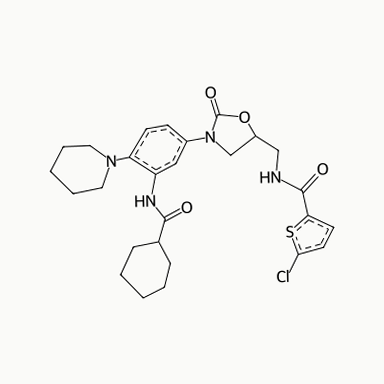 O=C(NCC1CN(c2ccc(N3CCCCC3)c(NC(=O)C3CCCCC3)c2)C(=O)O1)c1ccc(Cl)s1